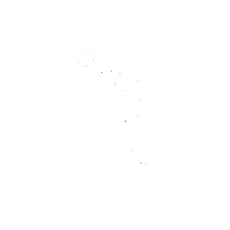 Cc1nc2[nH]c(C(=O)NC3CCN(C(=O)CO)CC3)c(OC(C)C)c2cc1NC(=O)c1ccccc1